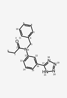 CCC(=O)N(Cc1ccccc1)c1cccc(-c2nnn[nH]2)c1